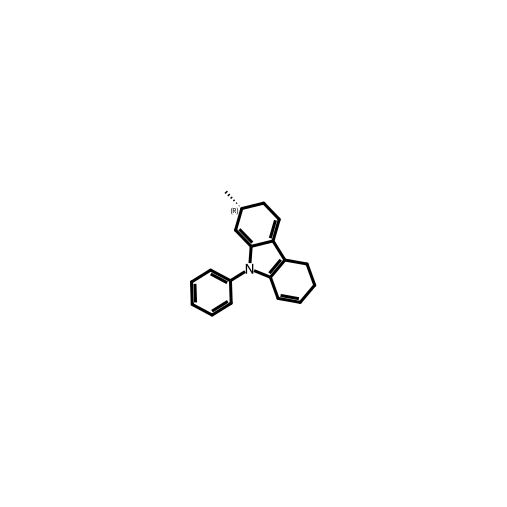 C[C@H]1C=c2c(c3c(n2-c2ccccc2)C=CCC3)=CC1